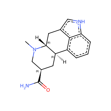 CN1C[C@H](C(N)=O)C[C@@H]2c3cccc4[nH]cc(c34)C[C@H]21